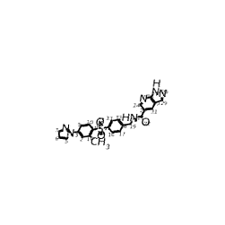 Cc1cc(-n2cccn2)ccc1S(=O)(=O)c1ccc(CNC(=O)c2cnc3[nH]ncc3c2)cc1